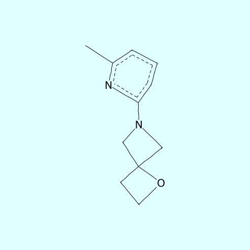 Cc1cccc(N2CC3(CCO3)C2)n1